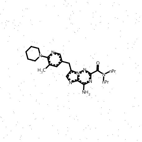 CCCN(CCC)C(=O)c1nc(N)c2ncc(Cc3cnc(N4CCCCC4)c(C)c3)n2n1